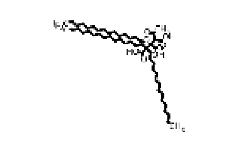 CCCCCCCCCCCCCCCOC(C(=O)O)(C(C(C)=O)C(=O)O)C(CCCCCCCCCCCCCCC)(CCCCCCCCCCCCCCC)C(=O)O